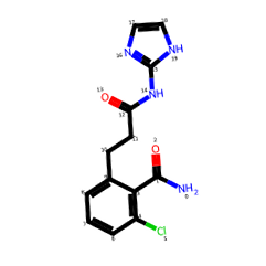 NC(=O)c1c(Cl)cccc1C[CH]C(=O)Nc1ncc[nH]1